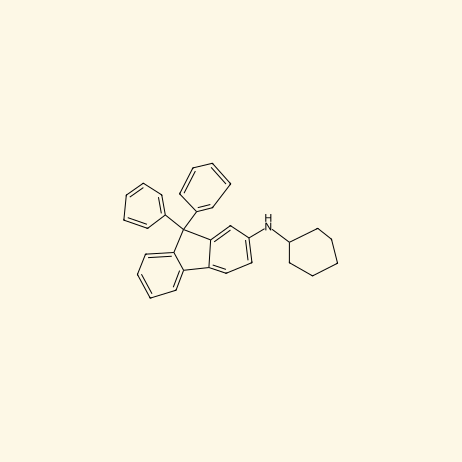 c1ccc(C2(c3ccccc3)c3ccccc3-c3ccc(NC4CCCCC4)cc32)cc1